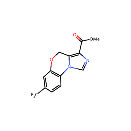 COC(=O)c1ncn2c1COc1cc(C(F)(F)F)ccc1-2